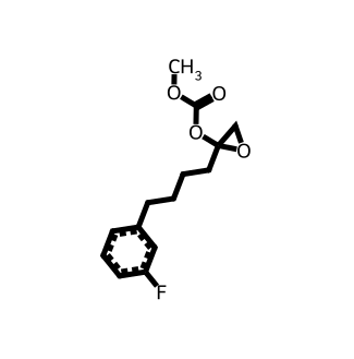 COC(=O)OC1(CCCCc2cccc(F)c2)CO1